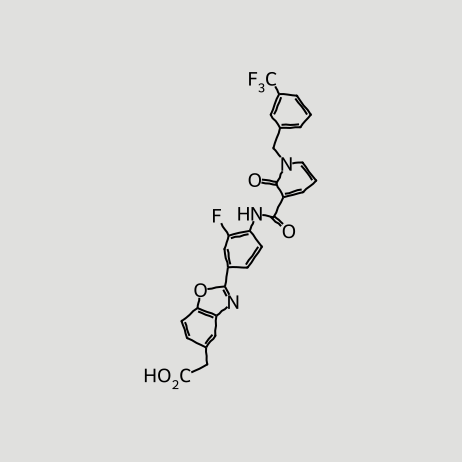 O=C(O)Cc1ccc2oc(-c3ccc(NC(=O)c4cccn(Cc5cccc(C(F)(F)F)c5)c4=O)c(F)c3)nc2c1